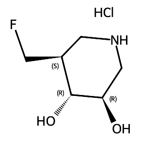 Cl.O[C@@H]1[C@@H](CF)CNC[C@H]1O